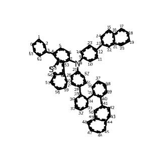 c1ccc(-c2ccc(N(c3ccc(-c4ccc5ccccc5c4)cc3)c3ccc(-c4ccccc4-c4ccccc4-c4ccc5ccccc5c4)cc3)c3c2sc2ccccc23)cc1